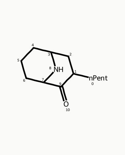 CCCCCC1CC2CCCC(N2)C1=O